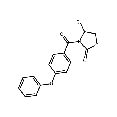 O=C1OCC(Cl)N1C(=O)c1ccc(Oc2ccccc2)cc1